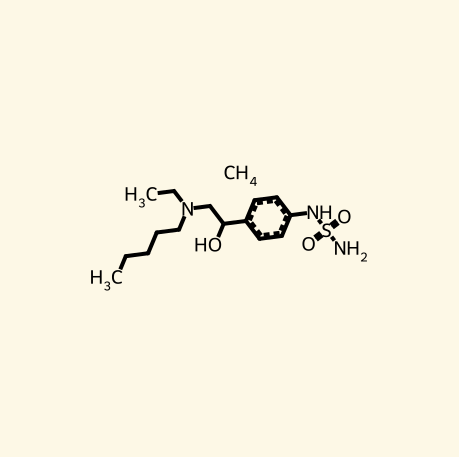 C.CCCCCN(CC)CC(O)c1ccc(NS(N)(=O)=O)cc1